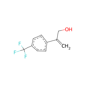 C=C(CO)c1ccc(C(F)(F)F)cc1